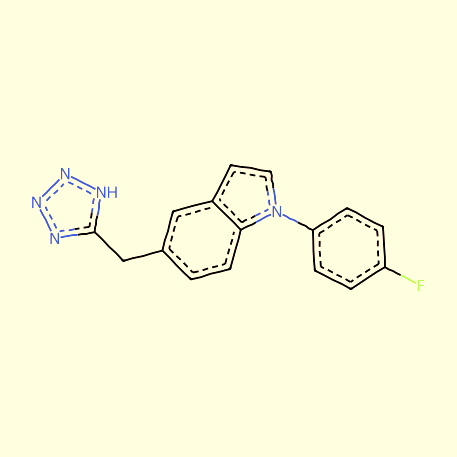 Fc1ccc(-n2ccc3cc(Cc4nnn[nH]4)ccc32)cc1